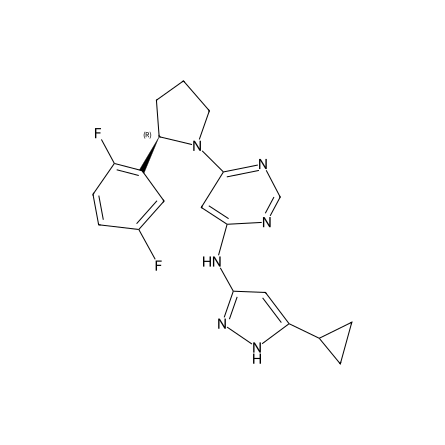 Fc1ccc(F)c([C@H]2CCCN2c2cc(Nc3cc(C4CC4)[nH]n3)ncn2)c1